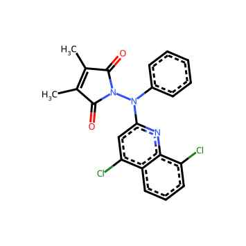 CC1=C(C)C(=O)N(N(c2ccccc2)c2cc(Cl)c3cccc(Cl)c3n2)C1=O